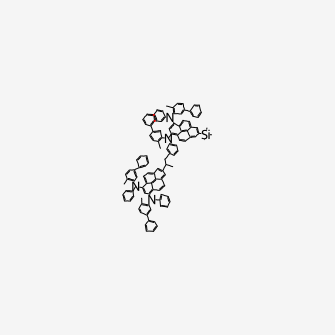 Cc1ccc(-c2ccccc2)cc1N(c1ccccc1)c1cc(N(c2ccccc2)c2cc(-c3ccccc3)ccc2C)c2ccc3cc(C(C)Cc4cccc(N(c5cc(-c6ccccc6)ccc5C)c5cc(N(c6ccccc6)c6cc(-c7ccccc7)ccc6C)c6ccc7cc([Si](C)(C)C)cc8ccc5c6c78)c4)cc4ccc1c2c43